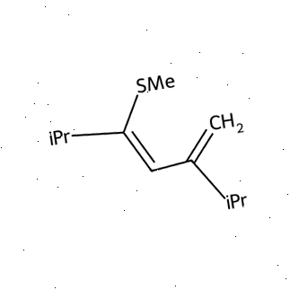 C=C(/C=C(\SC)C(C)C)C(C)C